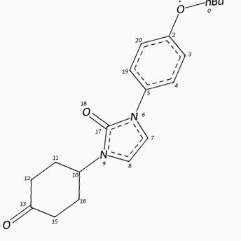 CCCCOc1ccc(-n2ccn(C3CCC(=O)CC3)c2=O)cc1